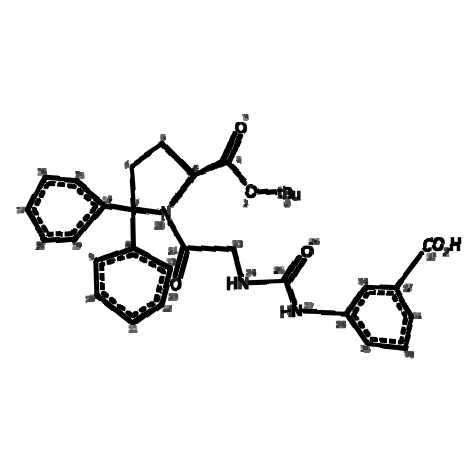 CC(C)(C)OC(=O)[C@@H]1CCC(c2ccccc2)(c2ccccc2)N1C(=O)CNC(=O)Nc1cccc(C(=O)O)c1